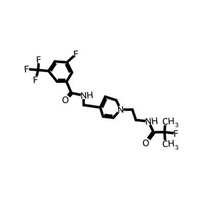 CC(C)(F)C(=O)NCCN1C=CC(CNC(=O)c2cc(F)cc(C(F)(F)F)c2)=CC1